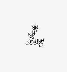 CCCCC(Cc1c[nH]c2c1=CCCC=2)NC(=O)c1cnc(N2CCn3nc(C)nc3C2)s1